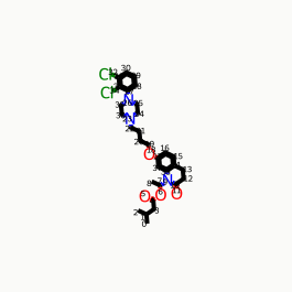 CC(C)CC(=O)OC(C)N1C(=O)CCc2ccc(OCCCCN3CCN(c4cccc(Cl)c4Cl)CC3)cc21